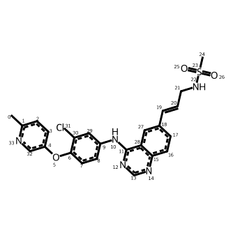 Cc1ccc(Oc2ccc(Nc3ncnc4ccc(C=CCNS(C)(=O)=O)cc34)cc2Cl)cn1